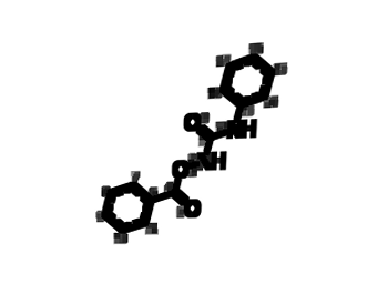 O=C(NOC(=O)c1ccccc1)Nc1ccccc1